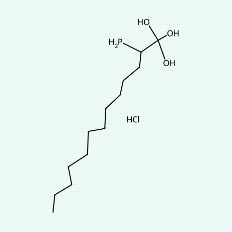 CCCCCCCCCCCC(P)C(O)(O)O.Cl